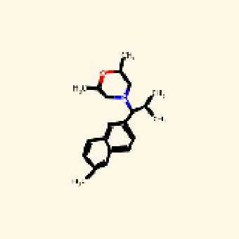 Cc1ccc2cc(C(C(C)C)N3CC(C)OC(C)C3)ccc2c1